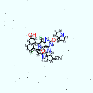 C#Cc1c(F)ccc2cc(O)cc(-c3ncc4c(N(C)CC5(N(C)C(=O)C=C)CCC(C#N)C5)nc(OCC56CCCN5CCC6)nc4c3F)c12